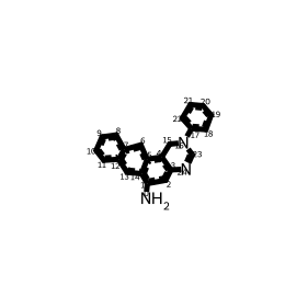 Nc1cc2c(c3cc4ccccc4cc13)CN(c1ccccc1)C=N2